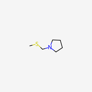 CSCN1CCCC1